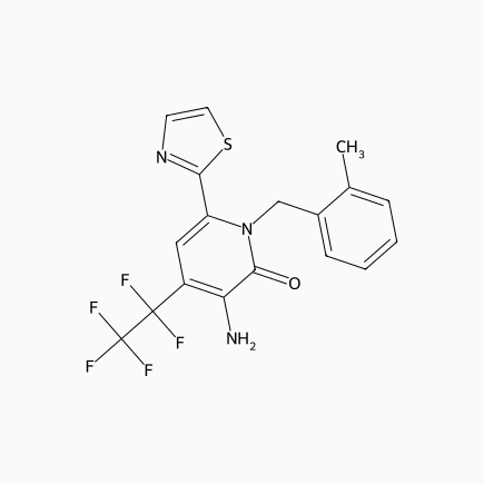 Cc1ccccc1Cn1c(-c2nccs2)cc(C(F)(F)C(F)(F)F)c(N)c1=O